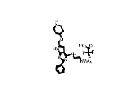 CC(=O)NCCNc1nc(-c2ccccc2)nc2[nH]c(COC3CCNCC3)cc12.O=C(O)C(F)(F)F